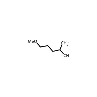 [CH2]C(C#N)CCCOC